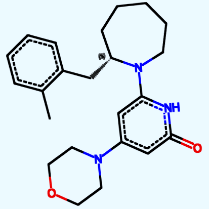 Cc1ccccc1C[C@@H]1CCCCCN1c1cc(N2CCOCC2)cc(=O)[nH]1